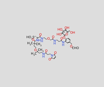 CC(C)(CCNC(=O)CCN1C(=O)C=CC1=O)OCCC(C)(C)C(=O)N[C@H](CS(=O)(=O)O)C(=O)NCCOCC(=O)NCCC(=O)Nc1cc(COC=O)ccc1O[C@@H]1O[C@H](CO)[C@H](O)[C@H](O)[C@H]1O